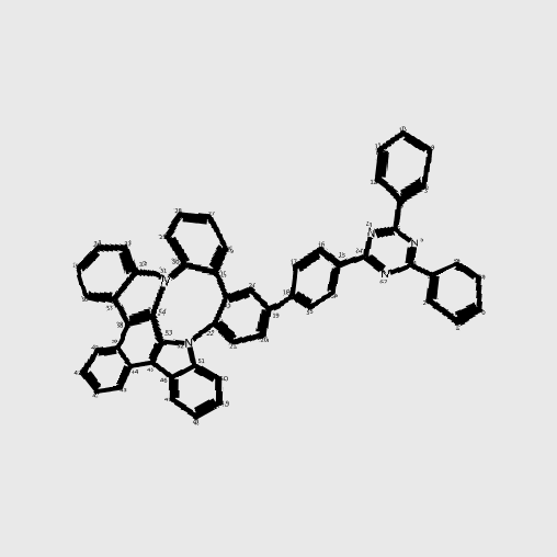 c1ccc(-c2nc(-c3ccccc3)nc(-c3ccc(-c4ccc5c(c4)c4ccccc4n4c6ccccc6c6c7ccccc7c7c8ccccc8n5c7c64)cc3)n2)cc1